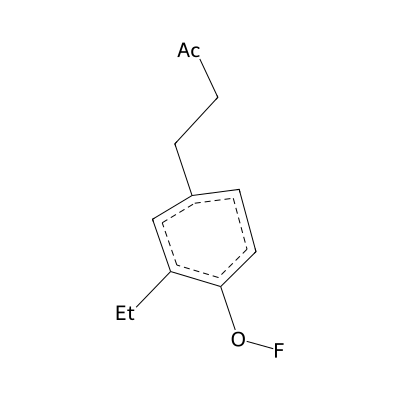 CCc1cc(CCC(C)=O)ccc1OF